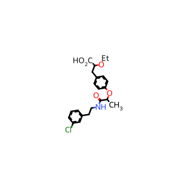 CCOC(Cc1ccc(OC(C)C(=O)NCCc2cccc(Cl)c2)cc1)C(=O)O